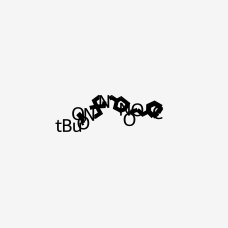 CC(C)(C)OC(=O)N1CCC2(CCN(CC3CCN(C(=O)OCc4ccccc4)CC3)C2)C1